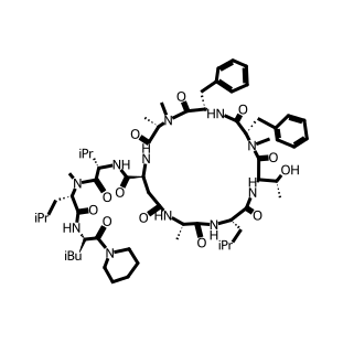 CC[C@H](C)[C@H](NC(=O)[C@H](CC(C)C)N(C)C(=O)[C@@H](NC(=O)[C@@H]1CC(=O)N[C@@H](C)C(=O)N[C@@H](CC(C)C)C(=O)N[C@@H]([C@@H](C)O)C(=O)N(C)[C@@H](Cc2ccccc2)C(=O)N[C@@H](Cc2ccccc2)C(=O)N(C)[C@@H](C)C(=O)N1)C(C)C)C(=O)N1CCCCC1